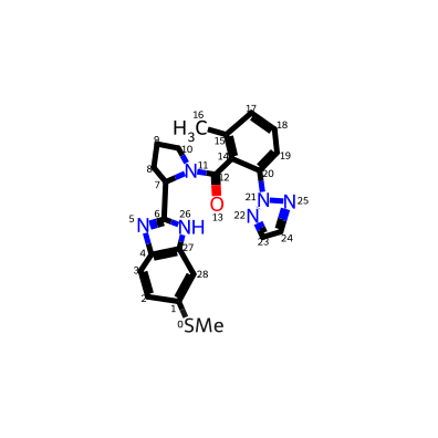 CSc1ccc2nc(C3CCCN3C(=O)c3c(C)cccc3-n3nccn3)[nH]c2c1